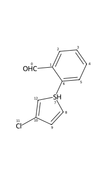 O=Cc1ccccc1[SH]1C=CC(Cl)=C1